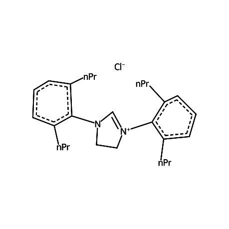 CCCc1cccc(CCC)c1N1C=[N+](c2c(CCC)cccc2CCC)CC1.[Cl-]